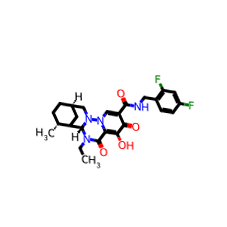 CCN1C(=O)c2c(O)c(=O)c(C(=O)NCc3ccc(F)cc3F)cn2N2C[C@@H]3CC[C@@H](C)C(C3)[C@@H]12